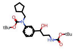 CC(C)(C)OC(=O)NCCC(O)c1cccc(N(CC2CCCC2)C(=O)OC(C)(C)C)c1